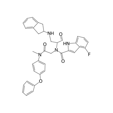 CN(C(=O)CN(C(=O)c1cc2c(F)cccc2[nH]1)C(C=O)CNC1Cc2ccccc2C1)c1ccc(Oc2ccccc2)cc1